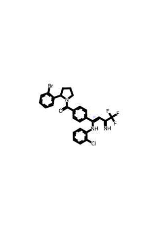 N=C(/C=C(\Nc1ccccc1Cl)c1ccc(C(=O)N2CCCC2c2ccccc2Br)cc1)C(F)(F)F